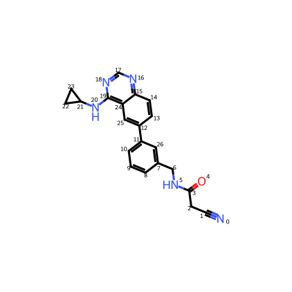 N#CCC(=O)NCc1cccc(-c2ccc3ncnc(NC4CC4)c3c2)c1